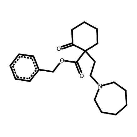 O=C1CCCCC1(CCN1CCCCCC1)C(=O)OCc1ccccc1